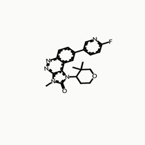 Cn1c(=O)n(C2CCOCC2(C)C)c2c3cc(-c4ccc(F)nc4)ccc3nnc21